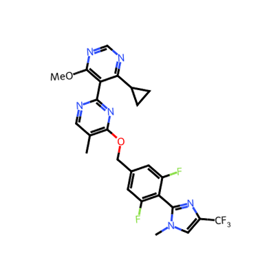 COc1ncnc(C2CC2)c1-c1ncc(C)c(OCc2cc(F)c(-c3nc(C(F)(F)F)cn3C)c(F)c2)n1